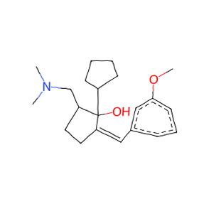 COc1cccc(C=C2CCC(CN(C)C)C2(O)C2CCCC2)c1